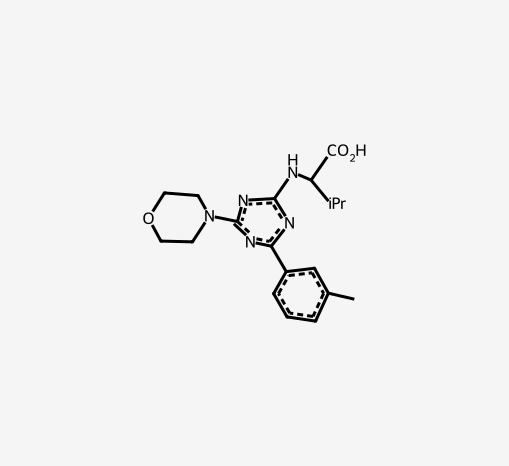 Cc1cccc(-c2nc(NC(C(=O)O)C(C)C)nc(N3CCOCC3)n2)c1